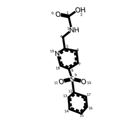 O=C(O)NCc1ccc(S(=O)(=O)c2ccccc2)cn1